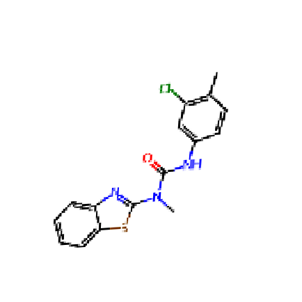 Cc1ccc(NC(=O)N(C)c2nc3ccccc3s2)cc1Cl